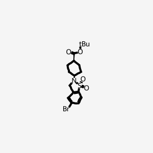 CC(C)(C)OC(=O)[C@H]1CC[C@@H](N2Cc3cc(Br)ccc3S2(=O)=O)CC1